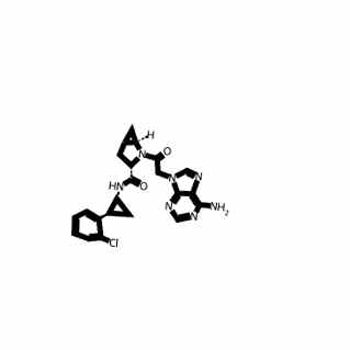 Nc1ncnc2c1ncn2CC(=O)N1[C@@H]2CC2C[C@H]1C(=O)N[C@@H]1C[C@H]1c1ccccc1Cl